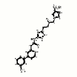 CCOC(=O)c1cn(CC(F)CCc2nnc(NC(=O)Cc3cc(-c4cccc(C)c4)ccn3)s2)nn1